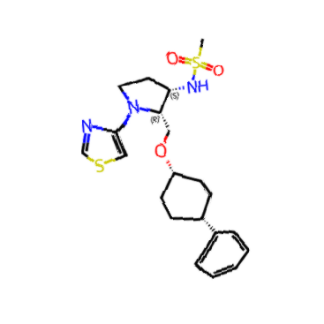 CS(=O)(=O)N[C@H]1CCN(c2cscn2)[C@H]1CO[C@H]1CC[C@@H](c2ccccc2)CC1